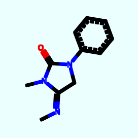 CN=C1CN(c2ccccc2)C(=O)N1C